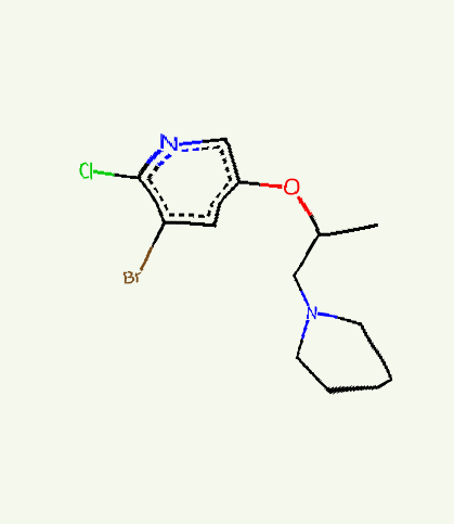 CC(CN1CCCC1)Oc1cnc(Cl)c(Br)c1